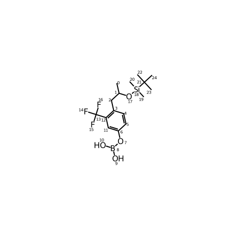 CC(Cc1ccc(OB(O)O)cc1C(F)(F)F)O[Si](C)(C)C(C)(C)C